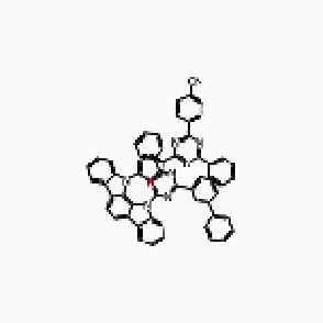 N#Cc1ccc(-c2nc(-c3ccccc3)nc(-c3ccc(-n4c5ccccc5c5ccc6c7ccccc7n(-c7nc(-c8ccccc8)nc(-c8cccc(-c9ccccc9)c8)n7)c6c54)cc3)n2)cc1